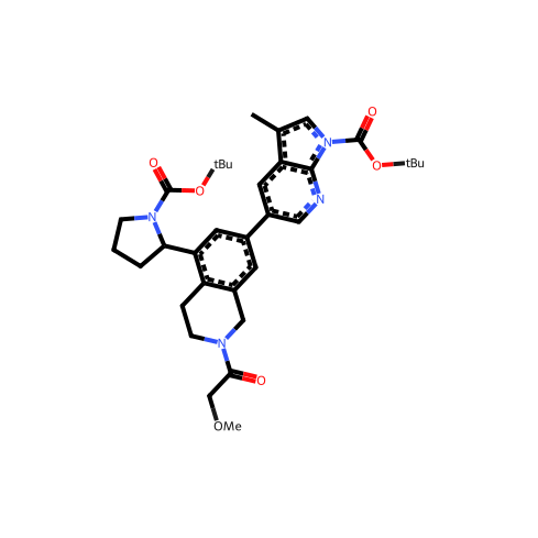 COCC(=O)N1CCc2c(cc(-c3cnc4c(c3)c(C)cn4C(=O)OC(C)(C)C)cc2C2CCCN2C(=O)OC(C)(C)C)C1